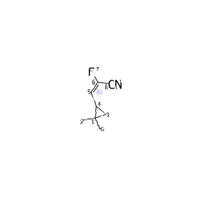 CC1(C)CC1/C=C(/F)C#N